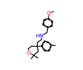 COc1ccc(CNCCC2(c3ccc(C)cc3)CCOC(C)(C)C2)cc1